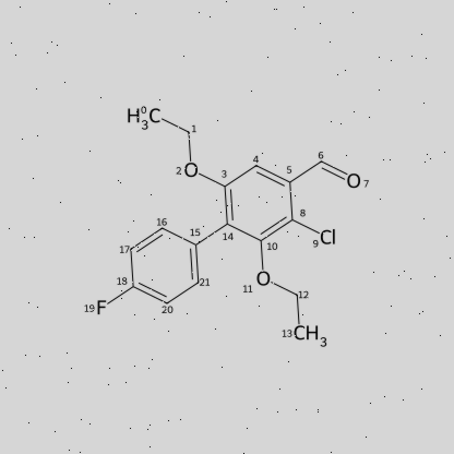 CCOc1cc(C=O)c(Cl)c(OCC)c1-c1ccc(F)cc1